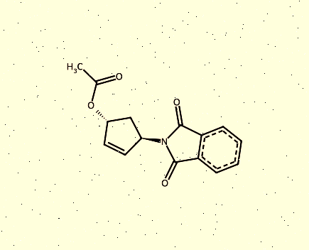 CC(=O)O[C@H]1C=C[C@H](N2C(=O)c3ccccc3C2=O)C1